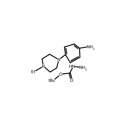 CC(C)(C)OC(=O)NN.CCN1CCN(c2ccc(N)cc2)CC1